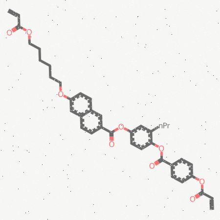 C=CC(=O)OCCCCCCOc1ccc2cc(C(=O)Oc3ccc(OC(=O)c4ccc(OC(=O)C=C)cc4)c(CCC)c3)ccc2c1